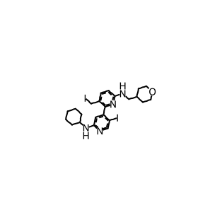 ICc1ccc(NCC2CCOCC2)nc1-c1cc(NC2CCCCC2)ncc1I